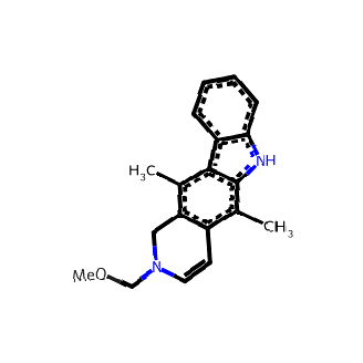 COCN1C=Cc2c(c(C)c3c([nH]c4ccccc43)c2C)C1